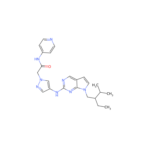 CCC(Cn1ccc2cnc(Nc3cnn(CC(=O)Nc4ccncc4)c3)nc21)C(C)C